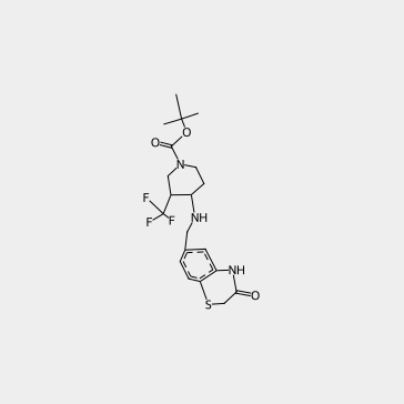 CC(C)(C)OC(=O)N1CCC(NCc2ccc3c(c2)NC(=O)CS3)C(C(F)(F)F)C1